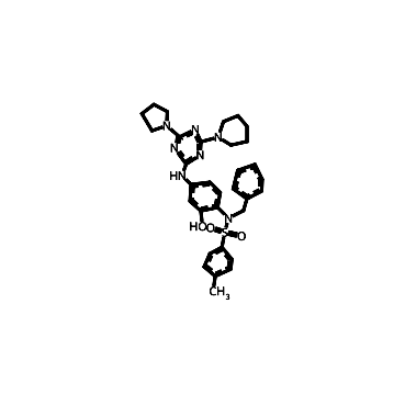 Cc1ccc(S(=O)(=O)N(Cc2ccccc2)c2ccc(Nc3nc(N4CCCCC4)nc(N4CCCC4)n3)cc2O)cc1